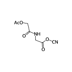 CC(=O)OCC(=O)NCC(=O)OC#N